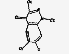 CCn1nc(C#N)c(=O)c2cc(Cl)c(Cl)cc21